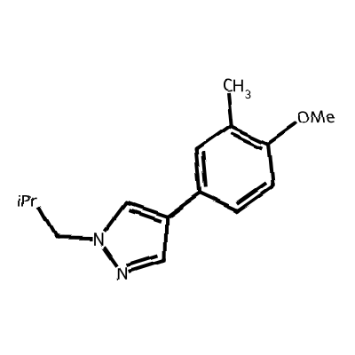 COc1ccc(-c2cnn(CC(C)C)c2)cc1C